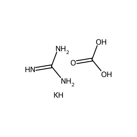 N=C(N)N.O=C(O)O.[KH]